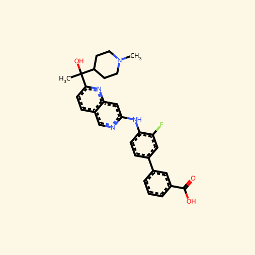 CN1CCC(C(C)(O)c2ccc3cnc(Nc4ccc(-c5cccc(C(=O)O)c5)cc4F)cc3n2)CC1